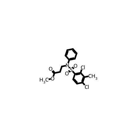 COC(=O)CCN(c1ccccc1)S(=O)(=O)c1ccc(Cl)c(C)c1Cl